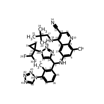 Cc1c(C(Nc2cc(Cl)c3ncc(C#N)c(NCC(C)(C)C)c3c2)c2cn(C3(C(F)F)CC3)nn2)cccc1-n1cnnn1